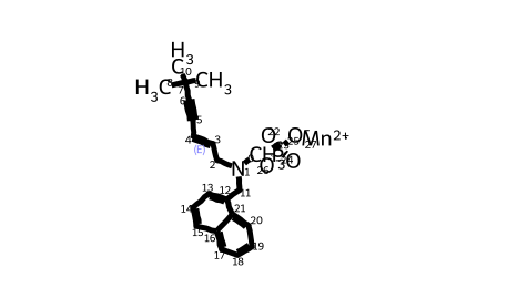 CN(C/C=C/C#CC(C)(C)C)Cc1cccc2ccccc12.O=S(=O)([O-])[O-].[Mn+2]